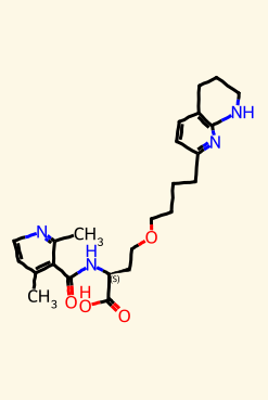 Cc1ccnc(C)c1C(=O)N[C@@H](CCOCCCCc1ccc2c(n1)NCCC2)C(=O)O